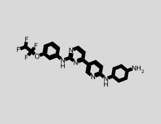 NC1CCC(Nc2ccc(-c3ccnc(Nc4cccc(OC(F)(F)C(F)F)c4)n3)cn2)CC1